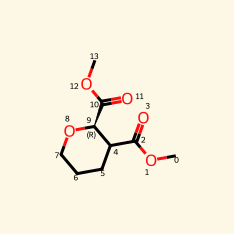 COC(=O)C1CCCO[C@H]1C(=O)OC